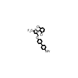 CCCc1ccc(-c2ccc(OCc3cc(C(F)(F)F)nn3-c3c(Cl)cccc3Cl)cc2)cc1